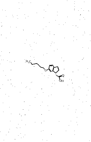 CCCCCOc1ccc2c(c1)[C@@H](CC(=O)O)CC2